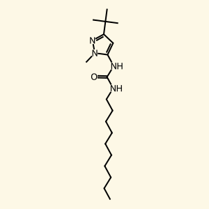 CCCCCCCCCCNC(=O)Nc1cc(C(C)(C)C)nn1C